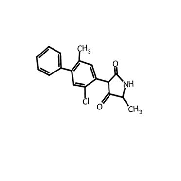 Cc1cc(C2C(=O)NC(C)C2=O)c(Cl)cc1-c1ccccc1